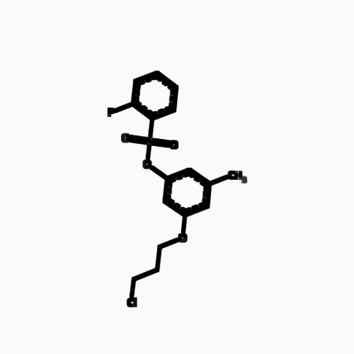 Cc1cc(OCCCCl)cc(OS(=O)(=O)c2ccccc2F)c1